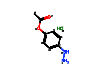 CC(=O)Oc1ccc(NN)cc1.Cl